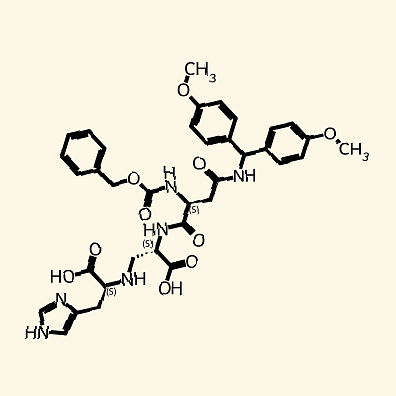 COc1ccc(C(NC(=O)C[C@H](NC(=O)OCc2ccccc2)C(=O)N[C@@H](CN[C@@H](Cc2c[nH]cn2)C(=O)O)C(=O)O)c2ccc(OC)cc2)cc1